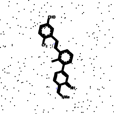 CN/C=C1/C=CC(c2cccc(/C=C/c3cc(C=O)ccc3C(F)(F)F)c2C)=CC1=N